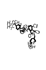 C\C=C(/C=C\C=N\O)CN1C(=O)c2c(Cl)ccc(NS(=O)(=O)c3ccc(C(C)(C)C)cc3)c2C1=O